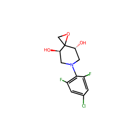 O[C@@H]1CN(c2c(F)cc(Cl)cc2F)C[C@@H](O)C12CO2